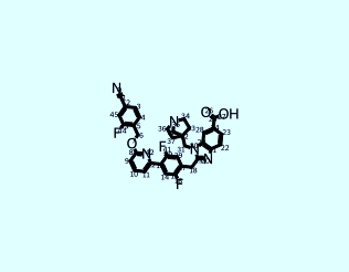 N#Cc1ccc(COc2cccc(-c3cc(F)c(Cc4nc5ccc(C(=O)O)cc5n4CC45CCN(CC4)C5)cc3F)n2)c(F)c1